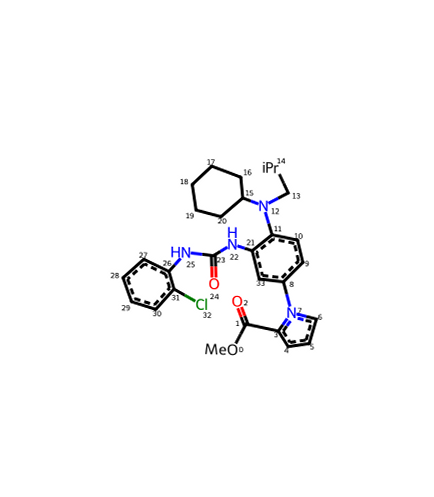 COC(=O)c1cccn1-c1ccc(N(CC(C)C)C2CCCCC2)c(NC(=O)Nc2ccccc2Cl)c1